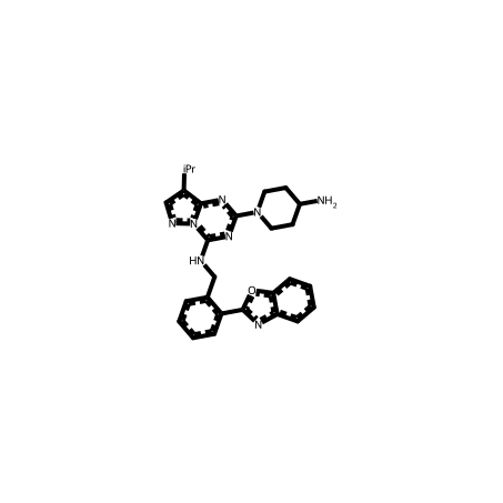 CC(C)c1cnn2c(NCc3ccccc3-c3nc4ccccc4o3)nc(N3CCC(N)CC3)nc12